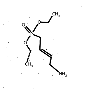 CCOP(=O)(CC=CCN)OCC